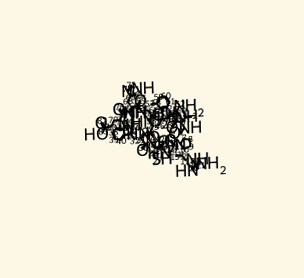 CC(C)[C@H](NC(=O)[C@@H]1CCCN1C(=O)[C@H](CCCNC(=N)N)NC(=O)[C@H](CS)NC(=O)[C@H](Cc1c[nH]c2ccccc12)NC(=O)[C@H](CCCNC(=N)N)NC(=O)[C@@H](Cc1ccccc1)NC(=O)[C@H](Cc1c[nH]cn1)NC(=O)[C@@H](N)CCC(=O)O)C(N)=O